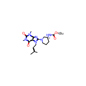 CC(C)=CCn1c(N2CCC[C@H](NC(=O)OC(C)(C)C)C2)nc2c1c(=O)n(C)c(=O)n2C